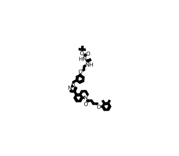 C=C(NCCOc1cccc(Cn2cc(-c3cccc4c3CCCN4C(=O)CCCOc3cccc(C)c3C)cn2)c1)NC(=O)OC(C)(C)C